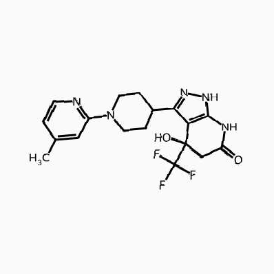 Cc1ccnc(N2CCC(c3n[nH]c4c3C(O)(C(F)(F)F)CC(=O)N4)CC2)c1